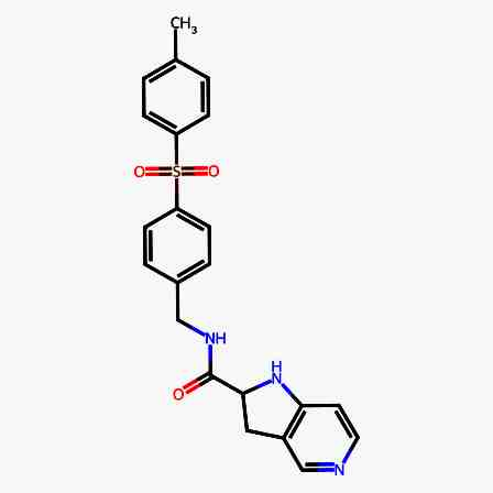 Cc1ccc(S(=O)(=O)c2ccc(CNC(=O)C3Cc4cnccc4N3)cc2)cc1